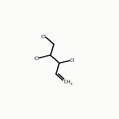 C=CC(Cl)C(Cl)CCl